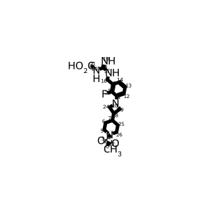 CS(=O)(=O)N1CCC(C2CN(c3cccc(CNC(=N)NC(=O)O)c3F)C2)CC1